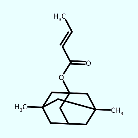 C/C=C/C(=O)OC12CC3CC(C)(CC(C)(C3)C1)C2